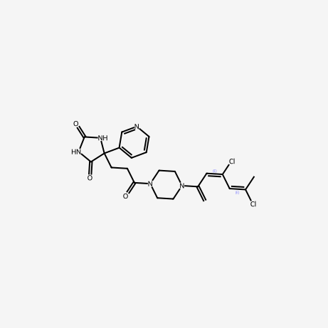 C=C(/C=C(Cl)\C=C(/C)Cl)N1CCN(C(=O)CCC2(c3cccnc3)NC(=O)NC2=O)CC1